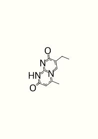 CCc1cn2c(C)cc(=O)[nH]c2nc1=O